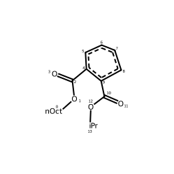 CCCCCCCCOC(=O)c1ccccc1C(=O)OC(C)C